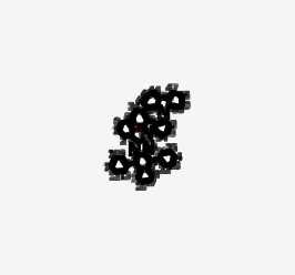 c1ccc(-c2nc3c(-c4ccccc4)c4ccccc4c(-c4ccccc4)c3nc2-n2c3ccccc3c3c(-n4c5ccccc5c5ccccc54)cccc32)cc1